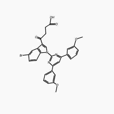 COc1cccc(-c2cc(-c3cccc(OC)c3)nc(-n3cc(C(=O)CCC(=O)O)c4cc(Br)ccc43)n2)c1